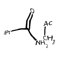 CC(C)=O.CC(C)C(N)=O